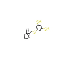 Sc1cc(S)cc(SCC2CC3C=C[C@H]2C3)c1